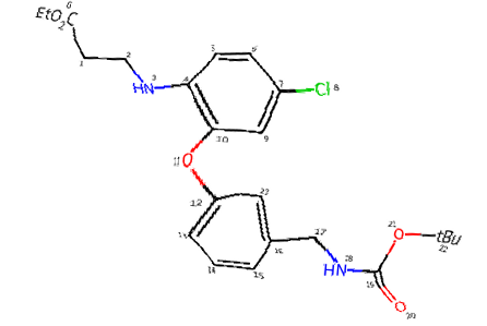 CCOC(=O)CCNc1ccc(Cl)cc1Oc1cccc(CNC(=O)OC(C)(C)C)c1